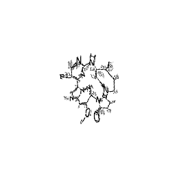 COc1cc2ncc(-c3nc(N[C@H]4CNCC[C@@H]4F)ncc3F)n2nc1N1CCCC1=O